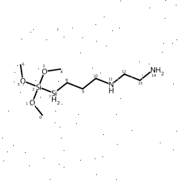 CO[Si](OC)(OC)[SiH2]CCCNCCN